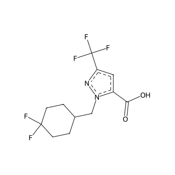 O=C(O)c1cc(C(F)(F)F)nn1CC1CCC(F)(F)CC1